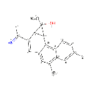 COC1(O)C2C(C(C)=N)=Cc3cc(C(C)(C)C)c4cc(C)ccc4c3C21